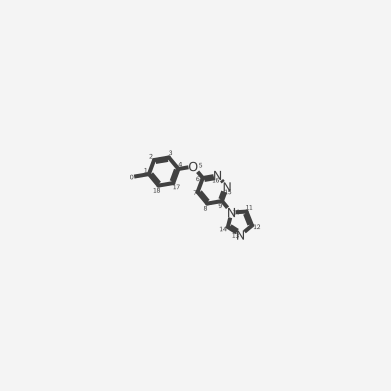 Cc1ccc(Oc2ccc(-n3ccnc3)nn2)cc1